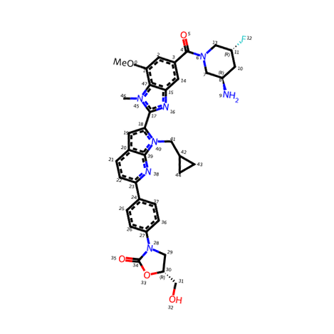 COc1cc(C(=O)N2C[C@H](N)C[C@@H](F)C2)cc2nc(-c3cc4ccc(-c5ccc(N6C[C@H](CO)OC6=O)cc5)nc4n3CC3CC3)n(C)c12